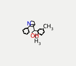 Cc1ccc(C)c(C(CO)C2C3CCN(CC3)C2c2ccccc2)c1